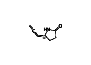 C=C=C[C@@H]1CCC(=O)N1